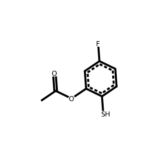 CC(=O)Oc1cc(F)ccc1S